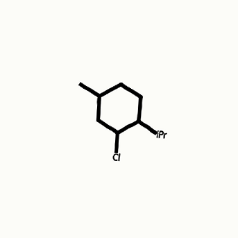 CC1CCC(C(C)C)[C](Cl)C1